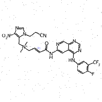 C[N+](C)(C/C=C/C(=O)Nc1cc2c(Nc3ccc(F)c(C(F)(F)F)c3)ncnc2cn1)Cc1c([N+](=O)[O-])ncn1CCC#N